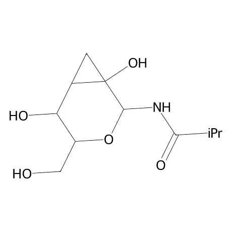 CC(C)C(=O)NC1OC(CO)C(O)C2CC12O